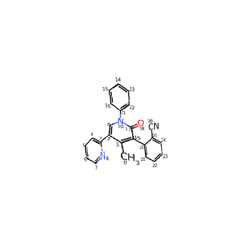 Cc1c(-c2ccccn2)cn(-c2ccccc2)c(=O)c1-c1ccccc1C#N